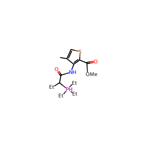 CCC(C(=O)Nc1c(C)csc1C(=O)OC)[PH](CC)(CC)CC